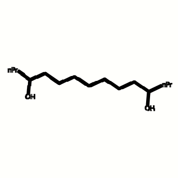 CCCC(O)CCCCCCCC(O)CCC